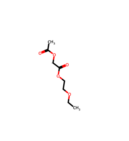 CCOCCOC(=O)[CH]OC(C)=O